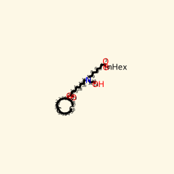 CCCCCCOC(=O)CCCCCCCN(CCO)CCCCCCCC(=O)OC1CCCCCCCCCCCCCC1